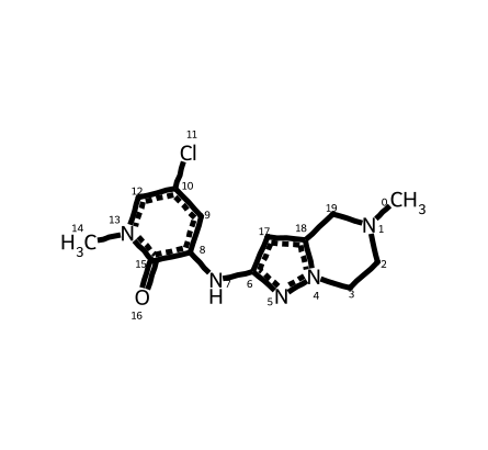 CN1CCn2nc(Nc3cc(Cl)cn(C)c3=O)cc2C1